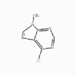 CCCCn1cnc2c(Cl)ncnc21